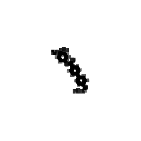 CCCCCCCCOc1ccc(-c2ccc(C(=O)OC3CCC(C#N)(CCCC)CC3)cc2)cc1